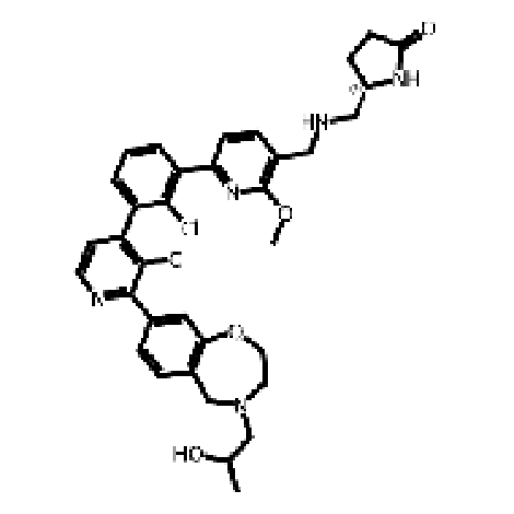 COc1nc(-c2cccc(-c3ccnc(-c4ccc5c(c4)OCCN(CC(C)O)C5)c3Cl)c2Cl)ccc1CNC[C@H]1CCC(=O)N1